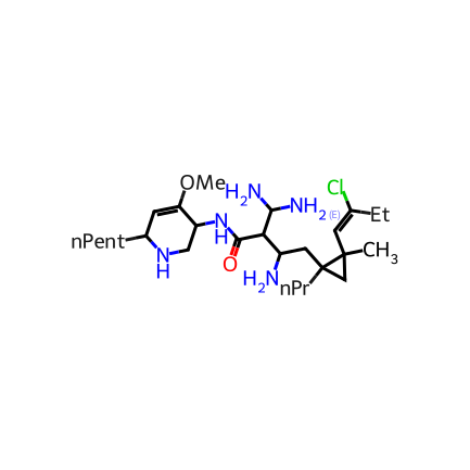 CCCCCC1C=C(OC)C(NC(=O)C(C(N)N)C(N)CC2(CCC)CC2(C)/C=C(/Cl)CC)CN1